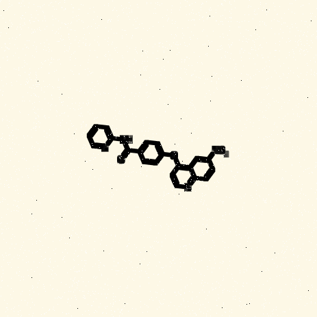 O=C(Nc1ccccn1)c1ccc(Oc2ccnc3ccc([N+](=O)[O-])cc23)cc1